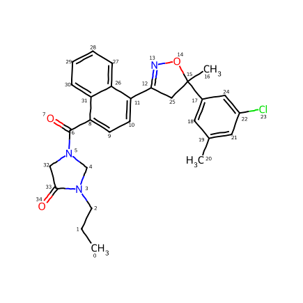 CCCN1CN(C(=O)c2ccc(C3=NOC(C)(c4cc(C)cc(Cl)c4)C3)c3ccccc23)CC1=O